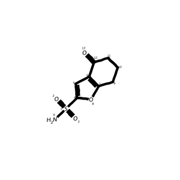 NS(=O)(=O)c1cc2c(o1)CCCC2=O